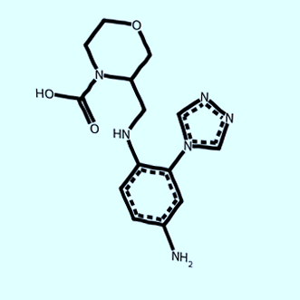 Nc1ccc(NCC2COCCN2C(=O)O)c(-n2cnnc2)c1